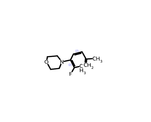 C=C(C)/C=C\C(=C(/C)F)N1CCOCC1